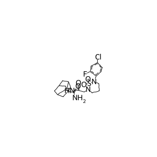 NC(=O)C12CC3CC(C1)C(NC(=O)CN1CCCN(c4ccc(Cl)cc4F)S1(=O)=O)C(C3)C2